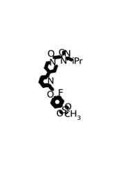 CC(C)c1noc(C(=O)N2CCC(c3cccc(COc4ccc(S(C)(=O)=O)cc4F)n3)CC2)n1